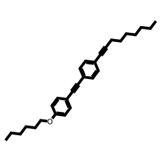 CCCCCCCC#Cc1ccc(C#Cc2ccc(OCCCCCC)cc2)cc1